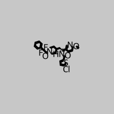 COc1ccc([C@H](CC2CCN(C(=O)C(F)(F)c3ccccc3)CC2)NC(=O)c2ccc(Cl)s2)cn1